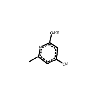 COc1cc(C#N)cc(C)n1